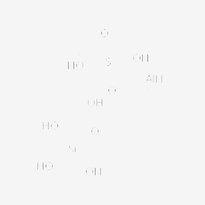 O=S(=O)(O)O.OO[Si](O)(O)O.[AlH3]